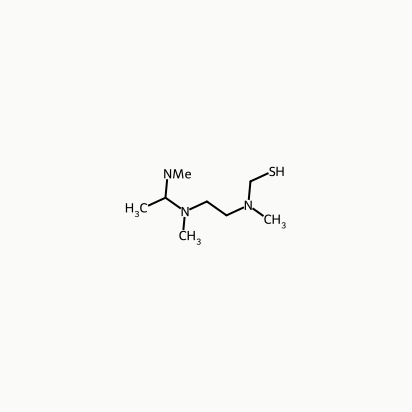 CNC(C)N(C)CCN(C)CS